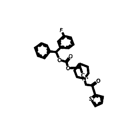 O=C(OC(c1ccccc1)c1cccc(F)c1)OC1C[N+]2(CC(=O)c3cccs3)CCC1CC2